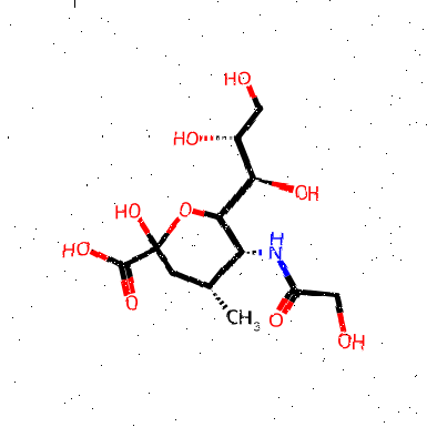 C[C@@H]1CC(O)(C(=O)O)OC([C@H](O)[C@H](O)CO)[C@@H]1NC(=O)CO